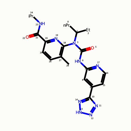 CCCC(CC)N(C(=O)Nc1cc(-c2nn[nH]n2)ccn1)c1nc(C(=O)NC(C)C)ccc1C